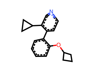 c1ccc(-c2ccncc2C2CC2)c(OC2CCC2)c1